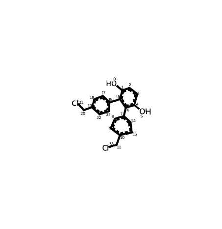 Oc1ccc(O)c(-c2ccc(CCl)cc2)c1-c1ccc(CCl)cc1